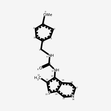 COc1ccc(CNC(=O)Nc2c(C)sc3cnccc23)cc1